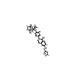 Cc1cc(-n2ccc3cc(OC[C@H]4CCCO4)ccc3c2=O)ccc1O[C@H]1C[C@H]2CC[C@@H](C1)N2CC1CC1